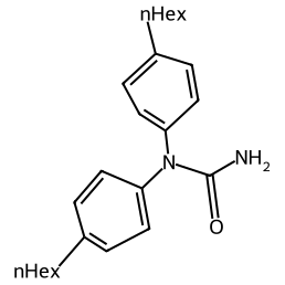 CCCCCCc1ccc(N(C(N)=O)c2ccc(CCCCCC)cc2)cc1